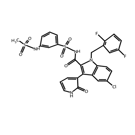 CS(=O)(=O)Nc1cccc(S(=O)(=O)NC(=O)c2c(-c3ccc[nH]c3=O)c3cc(Cl)ccc3n2Cc2cc(F)ccc2F)c1